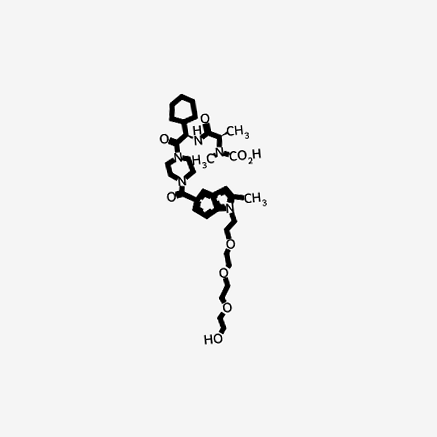 Cc1cc2cc(C(=O)N3CCN(C(=O)[C@@H](NC(=O)[C@H](C)N(C)C(=O)O)C4CCCCC4)CC3)ccc2n1CCOCCOCCOCCO